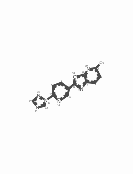 Fc1ccc2nc(-c3ccc(-n4cncn4)nc3)oc2n1